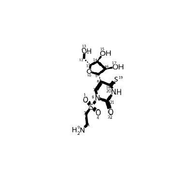 NCCS(=O)(=O)n1cc([C@@H]2O[C@H](CO)[C@@H](O)[C@H]2O)c(=S)[nH]c1=O